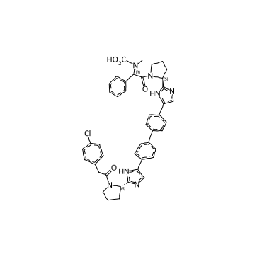 CN(C(=O)O)[C@@H](C(=O)N1CCC[C@H]1c1ncc(-c2ccc(-c3ccc(-c4cnc([C@@H]5CCCN5C(=O)Cc5ccc(Cl)cc5)[nH]4)cc3)cc2)[nH]1)c1ccccc1